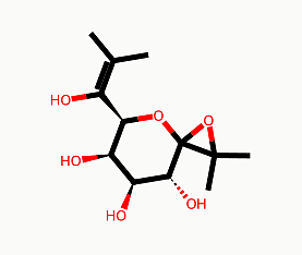 CC(C)=C(O)[C@H]1OC2(OC2(C)C)[C@H](O)[C@@H](O)[C@H]1O